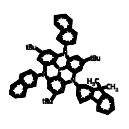 CC(C)(C)c1cc2c3c(c1)N(c1ccc4ccccc4c1)c1cc(C(C)(C)C)cc4c1P3c1c(cc(C(C)(C)C)cc1N4c1ccc3ccccc3c1)N2c1ccc2c(c1)C(C)(C)c1ccccc1-2